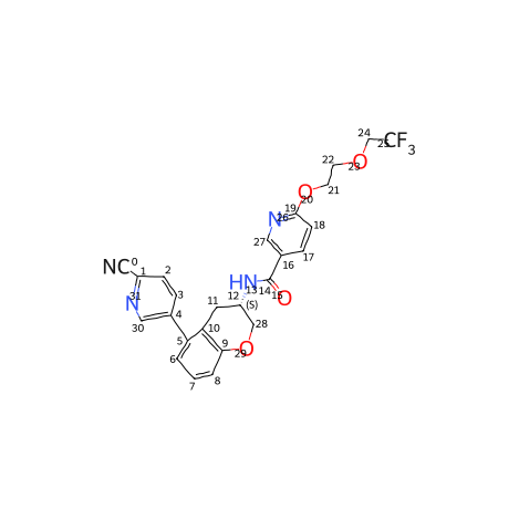 N#Cc1ccc(-c2cccc3c2C[C@H](NC(=O)c2ccc(OCCOCC(F)(F)F)nc2)CO3)cn1